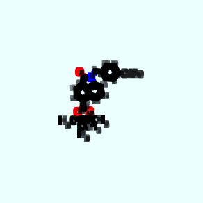 COc1ccc(CN2C(=O)c3ccc(B4OC(C)(C)C(C)(C)O4)c4cccc2c34)cc1